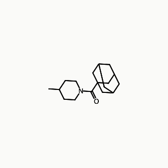 CC1CCN(C(=O)C23CC4CC(CC(C4)C2)C3)CC1